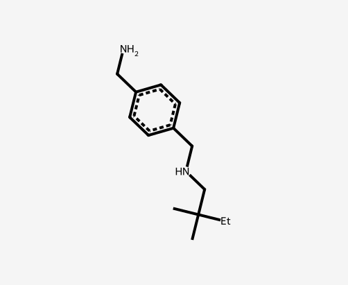 CCC(C)(C)CNCc1ccc(CN)cc1